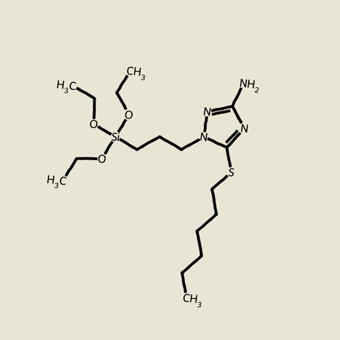 CCCCCCSc1nc(N)nn1CCC[Si](OCC)(OCC)OCC